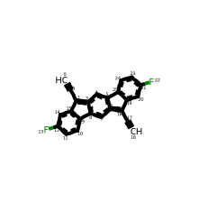 C#CC1=c2cc3c(cc2-c2ccc(F)cc21)=C(C#C)c1cc(F)ccc1-3